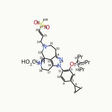 CC(C)[Si](Oc1cc(C2CC2)ccc1-n1nc2c3c1CCN(C(=O)O)[C@H]3CN(C/C=C/S(C)(=O)=O)CC2)(C(C)C)C(C)C